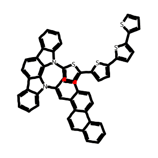 c1csc(-c2ccc(-c3ccc(-c4ccc(-n5c6ccccc6c6ccc7c8ccccc8n(-c8ccc9ccc%10c%11ccccc%11ccc%10c9c8)c7c65)s4)s3)s2)c1